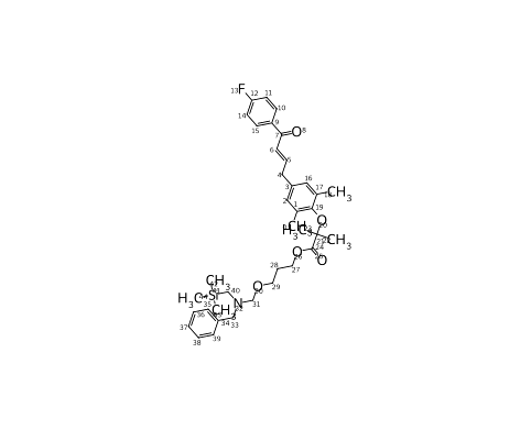 Cc1cc(C/C=C/C(=O)c2ccc(F)cc2)cc(C)c1OC(C)(C)C(=O)OCCCOCN(Cc1ccccc1)C[Si](C)(C)C